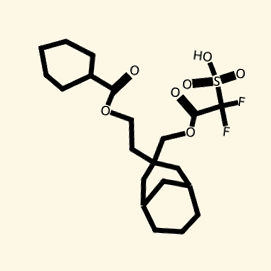 O=C(OCCC1(COC(=O)C(F)(F)S(=O)(=O)O)CC2CCCC(C2)C1)C1CCCCC1